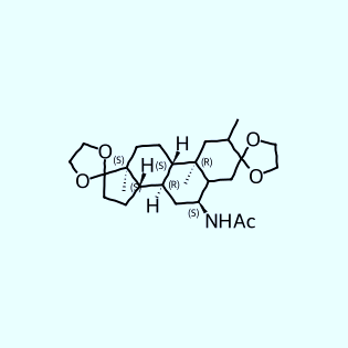 CC(=O)N[C@H]1C[C@@H]2[C@H](CC[C@@]3(C)[C@H]2CCC32OCCO2)[C@@]2(C)CC(C)C3(CC12)OCCO3